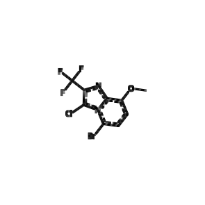 COc1ccc(Br)n2c(Cl)c(C(F)(F)F)nc12